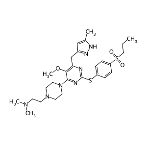 CCCS(=O)(=O)c1ccc(Sc2nc(Cc3cc(C)[nH]n3)c(OC)c(N3CCN(CCN(C)C)CC3)n2)cc1